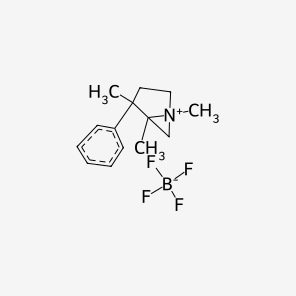 CC1(c2ccccc2)CC[N+]2(C)CC12C.F[B-](F)(F)F